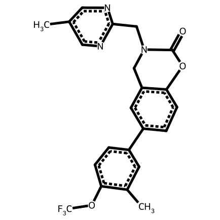 Cc1cnc(CN2Cc3cc(-c4ccc(OC(F)(F)F)c(C)c4)ccc3OC2=O)nc1